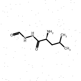 CC(C)C[C@H](N)C(=O)NNC=O